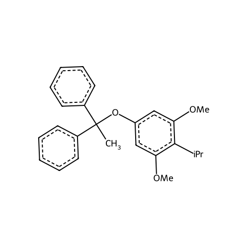 COc1cc(OC(C)(c2ccccc2)c2ccccc2)cc(OC)c1C(C)C